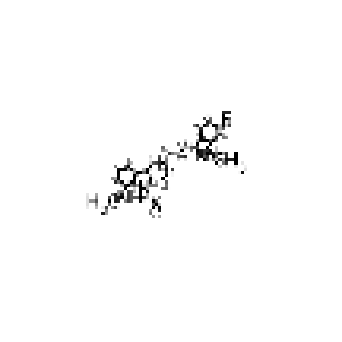 CNc1cccc2c1N(CC=O)C1CCN(CCCc3nn(C)c4cc(F)ccc34)CC21